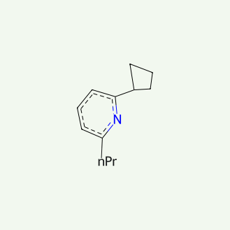 CCCc1cccc(C2CCC2)n1